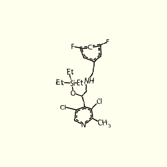 CC[Si](CC)(CC)OC(CNCc1cc(F)cc(F)c1)c1c(Cl)cnc(C)c1Cl